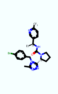 CC[C@H](NC(=O)N1CCC[C@@H]1c1nnc(C)n1Cc1ccc(Br)cc1)c1ccc(C(F)(F)F)nc1